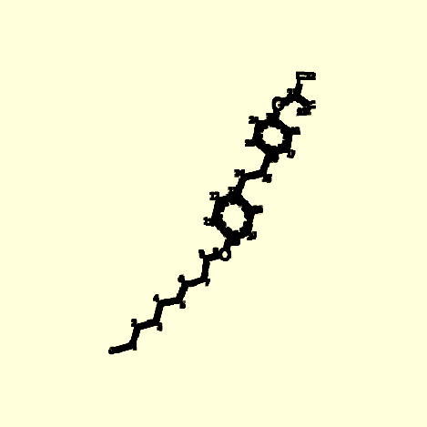 CCCCCCCCCOc1ccc(CCc2ccc(OC(F)F)cc2)cc1